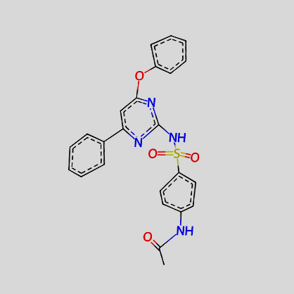 CC(=O)Nc1ccc(S(=O)(=O)Nc2nc(Oc3ccccc3)cc(-c3ccccc3)n2)cc1